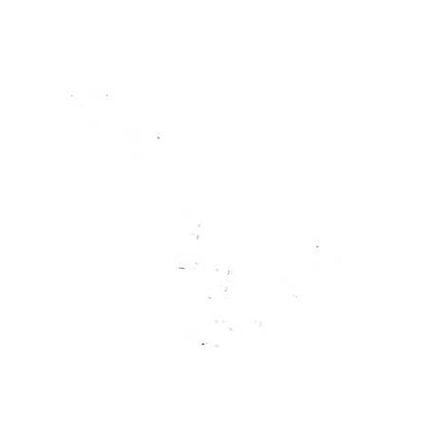 C=C(C)[C@@H]1CC[C@]2(NCCN3CCS(O)(O)CC3)CC[C@]3(C)[C@H](CC[C@@H]4[C@@]5(C)CC=C(C6=CCC(CCOc7nccc(OC)n7)(C(=O)O)CC6)C(C)(C)[C@@H]5CC[C@]43C)[C@@H]12